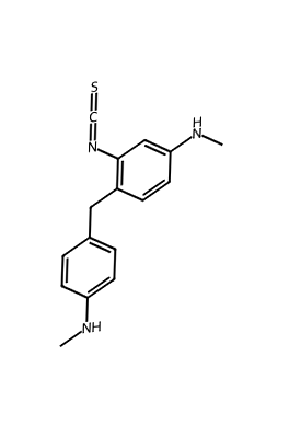 CNc1ccc(Cc2ccc(NC)cc2N=C=S)cc1